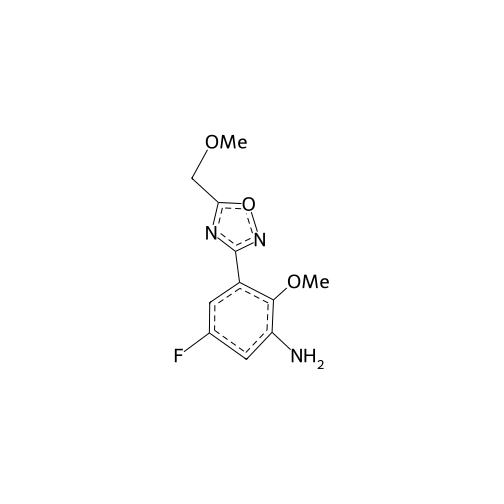 COCc1nc(-c2cc(F)cc(N)c2OC)no1